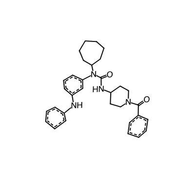 O=C(c1ccccc1)N1CCC(NC(=O)N(c2cccc(Nc3ccccc3)c2)C2CCCCCC2)CC1